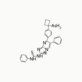 S=C(Nc1ccccc1)Nc1nc2nc(-c3ccc(C4([AsH2])CCC4)cc3)c(-c3ccccc3)cn2n1